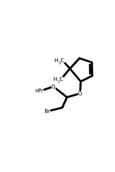 CCCOC(CBr)OC1C=CCC1(C)C